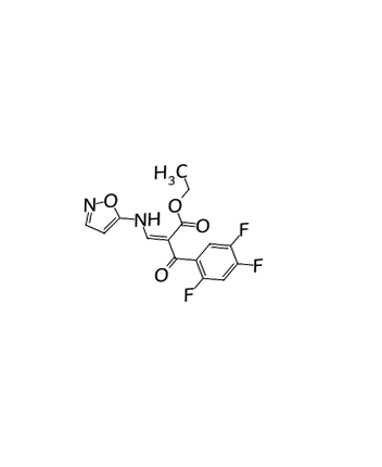 CCOC(=O)C(=CNc1ccno1)C(=O)c1cc(F)c(F)cc1F